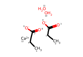 CCC(=O)[O-].CCC(=O)[O-].O.O.[Ca+2]